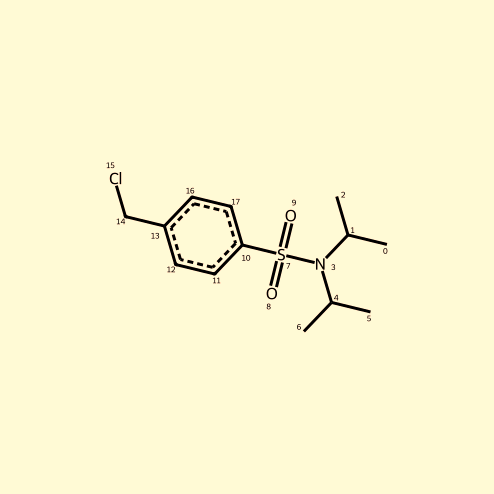 CC(C)N(C(C)C)S(=O)(=O)c1ccc(CCl)cc1